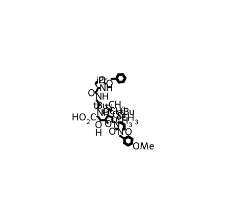 COc1ccc(Cn2c(=O)ccn([C@@H]3OC([C@H](O)[C@H](NCCCNC(=O)[C@@H](CC(C)C)NC(=O)OCc4ccccc4)C(=O)O)[C@@H](O[Si](C)(C)C(C)(C)C)[C@H]3O[Si](C)(C)C(C)(C)C)c2=O)cc1